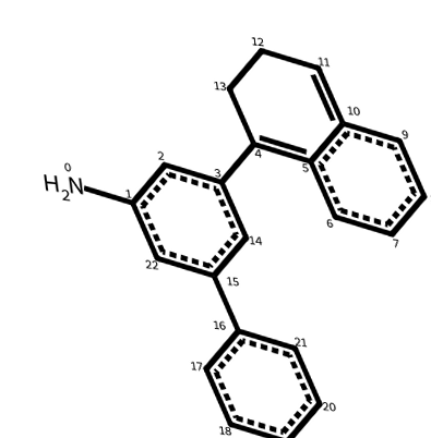 Nc1cc(C2=c3ccccc3=CCC2)cc(-c2ccccc2)c1